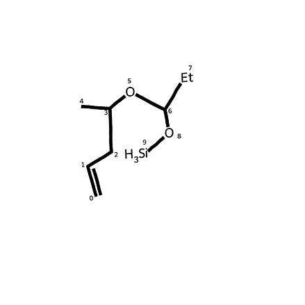 C=CCC(C)OC(CC)O[SiH3]